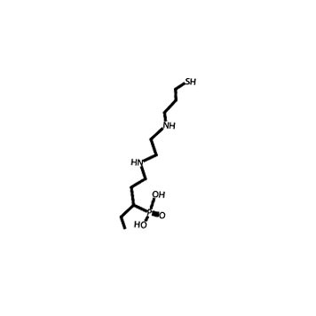 CCC(CCNCCNCCCS)P(=O)(O)O